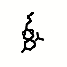 CSCCC1OCC2(CO1)C[C@H](C)CC[C@H]2C(C)C